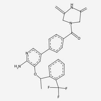 C=C1CN(C(=O)c2ccc(-c3cnc(N)c(OC(C)c4ccccc4C(F)(F)F)c3)cc2)CC(=C)N1